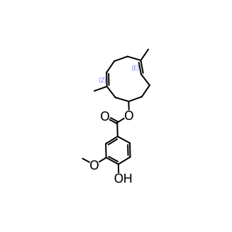 COc1cc(C(=O)OC2CC/C=C(\C)CC/C=C(/C)C2)ccc1O